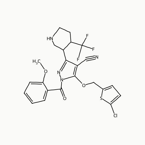 COc1ccccc1C(=O)n1nc(C2CNCCC2C(F)(F)F)c(C#N)c1OCc1ccc(Cl)s1